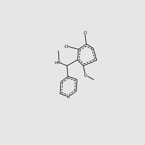 CNC(c1ccncc1)c1c(OC)ccc(Cl)c1Cl